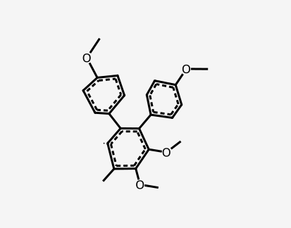 COc1ccc(-c2[c]c(C)c(OC)c(OC)c2-c2ccc(OC)cc2)cc1